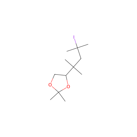 CC(C)(I)CC(C)(C)C1COC(C)(C)O1